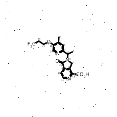 Cc1cc(C(C)N2Cc3c(ccnc3C(=O)O)C2=O)ncc1OCCC(F)(F)F